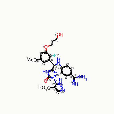 COc1cc(OCCCO)c(F)c(C(Nc2ccc(C(=N)N)cc2)c2nn(-c3[nH]ncc3C(=O)O)c(=O)[nH]2)c1